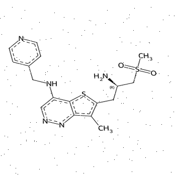 Cc1c(C[C@@H](N)CS(C)(=O)=O)sc2c(NCc3ccncc3)cnnc12